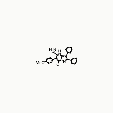 COc1ccc(-c2c(CN)[nH]c3c(-c4ccccc4)c(-c4ccccc4)nn3c2=O)cc1